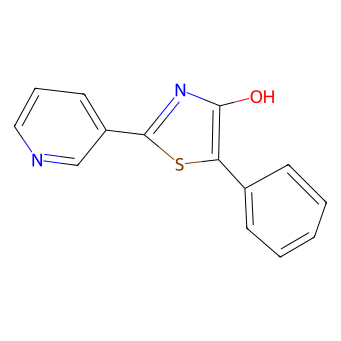 Oc1nc(-c2cccnc2)sc1-c1ccccc1